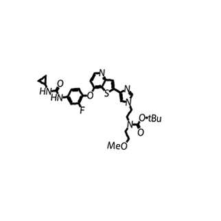 COCCN(CCn1cnc(-c2cc3nccc(Oc4ccc(NC(=O)NC5CC5)cc4F)c3s2)c1)C(=O)OC(C)(C)C